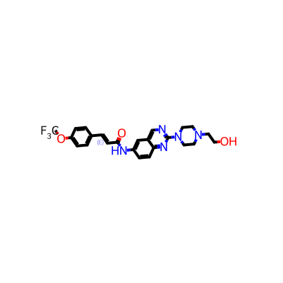 O=C(/C=C/c1ccc(OC(F)(F)F)cc1)Nc1ccc2nc(N3CCN(CCO)CC3)ncc2c1